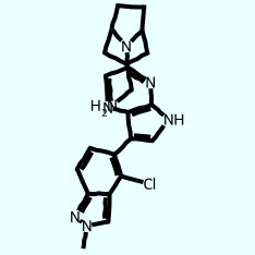 Cn1cc2c(Cl)c(-c3c[nH]c4nc(N5C6CCC5CC(CN)C6)cnc34)ccc2n1